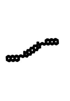 C(=C\c1cc2cc3cc4cc5cc(/C=C/c6ccc7cc8ccccc8cc7c6)sc5cc4cc3cc2s1)/c1ccc2cc3ccccc3cc2c1